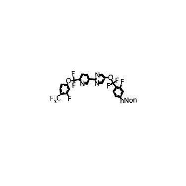 CCCCCCCCCc1ccc(C(F)(F)Oc2cnc(-c3ccc(C(F)(F)Oc4ccc(C(F)(F)F)c(F)c4)nc3)nc2)c(F)c1